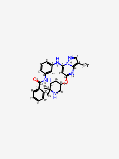 CC(C)c1cnn2c(Nc3cccc(NC(=O)c4ccccc4)c3)cc(OC3CCC(C)(C)NC3)nc12